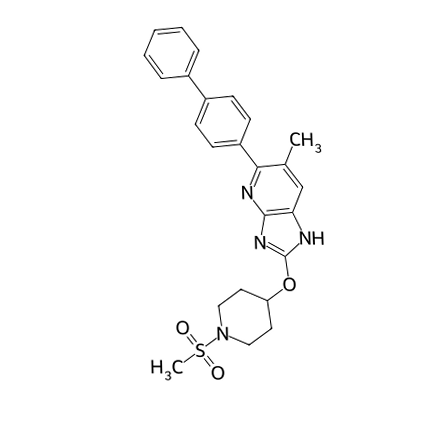 Cc1cc2[nH]c(OC3CCN(S(C)(=O)=O)CC3)nc2nc1-c1ccc(-c2ccccc2)cc1